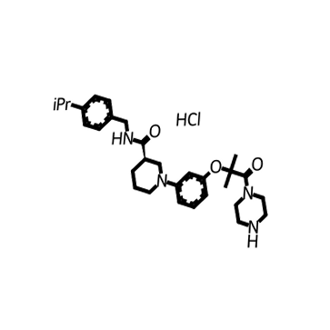 CC(C)c1ccc(CNC(=O)[C@@H]2CCCN(c3cccc(OC(C)(C)C(=O)N4CCNCC4)c3)C2)cc1.Cl